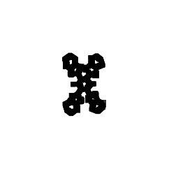 Cc1c(-c2nc3cccnc3o2)c(-c2nc3cccnc3o2)c(C)c(-c2nc3cccnc3o2)c1-c1nc2cccnc2o1